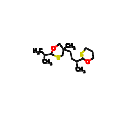 CC(C)C1OCC(C)(CCC(C)C2OCCCS2)CS1